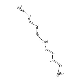 CCCC/C=C/C=C/N/C=C/C=C/CCCC